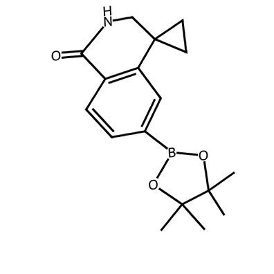 CC1(C)OB(c2ccc3c(c2)C2(CC2)CNC3=O)OC1(C)C